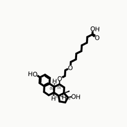 C[C@]12C[C@H](OCCOCCCCCCCC(=O)O)[C@@H]3c4ccc(O)cc4CC[C@H]3[C@@H]1CC[C@@H]2O